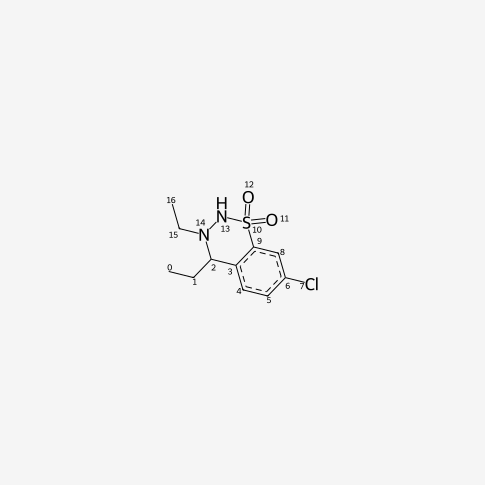 CCC1c2ccc(Cl)cc2S(=O)(=O)NN1CC